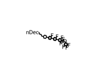 CCCCCCCCCCCCCCC1CCC(c2ccc(-c3ccc(-c4cc(F)c(C(F)(F)Oc5cc(F)c(F)c(F)c5)c(F)c4)c(F)c3)c(F)c2)CC1